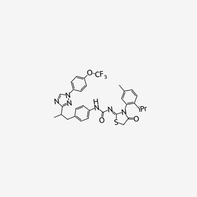 Cc1ccc(C(C)C)c(N2C(=O)CSC2=NC(=O)Nc2ccc(CC(C)c3ncn(-c4ccc(OC(F)(F)F)cc4)n3)cc2)c1